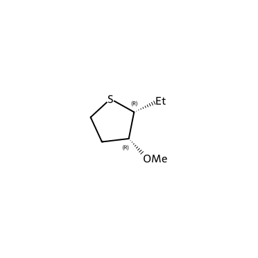 CC[C@H]1SCC[C@H]1OC